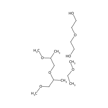 CCOC.COCC(C)OCC(C)OC.OCCOCCO